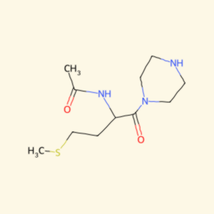 CSCCC(NC(C)=O)C(=O)N1CCNCC1